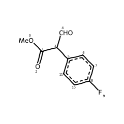 COC(=O)C(C=O)c1ccc(F)cc1